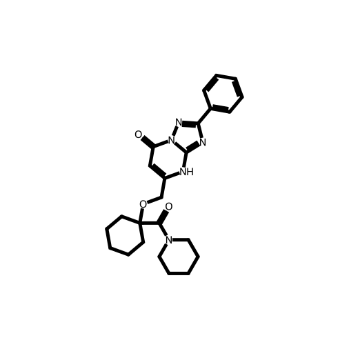 O=C(N1CCCCC1)C1(OCc2cc(=O)n3nc(-c4ccccc4)nc3[nH]2)CCCCC1